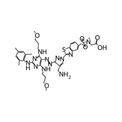 COCCCNc1nc(Nc2c(C)cc(C)cc2C)nc(NCCCOC)c1N=Nc1nn(-c2nc3cc(S(=O)(=O)N(C)CC(=O)O)ccc3s2)cc1CN